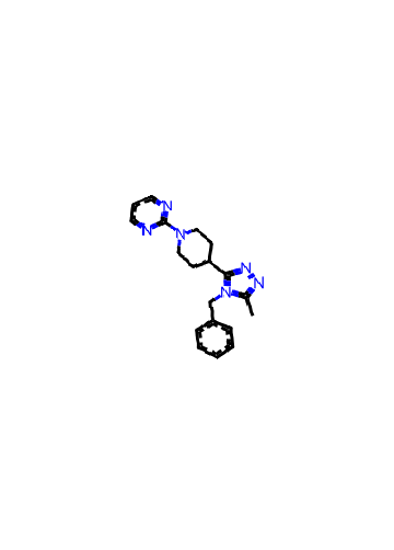 Cc1nnc(C2CCN(c3ncccn3)CC2)n1Cc1ccccc1